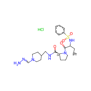 CC(C)CC(NS(=O)(=O)c1ccccc1)C(=O)N1CCC[C@H]1C(=O)NCC1CCN(C=NN)CC1.Cl